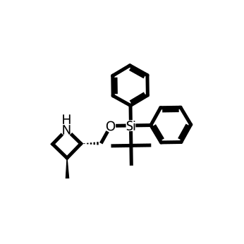 C[C@H]1CN[C@@H]1CO[Si](c1ccccc1)(c1ccccc1)C(C)(C)C